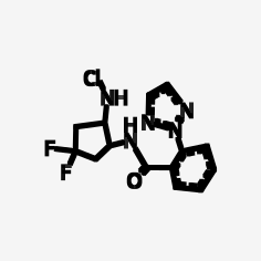 O=C(NC1CC(F)(F)CC1NCl)c1ccccc1-n1nccn1